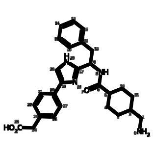 NCC1CCC(C(=O)NC(Cc2ccccc2)c2nc(-c3ccc(CC(=O)O)cc3)c[nH]2)CC1